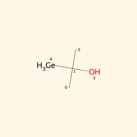 C[C](C)(O)[GeH3]